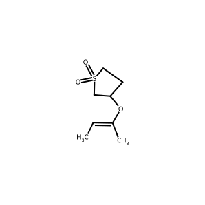 CC=C(C)OC1CCS(=O)(=O)C1